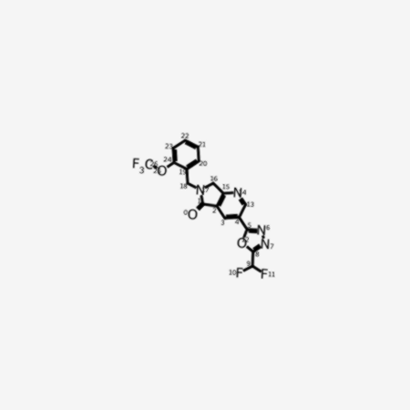 O=C1c2cc(-c3nnc(C(F)F)o3)cnc2CN1Cc1ccccc1OC(F)(F)F